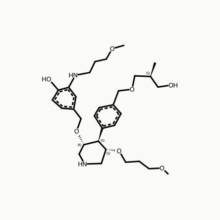 COCCCNc1cc(CO[C@H]2CNC[C@@H](OCCCOC)[C@@H]2c2ccc(COC[C@@H](C)CO)cc2)ccc1O